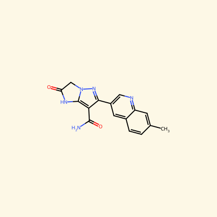 Cc1ccc2cc(-c3nn4c(c3C(N)=O)NC(=O)C4)cnc2c1